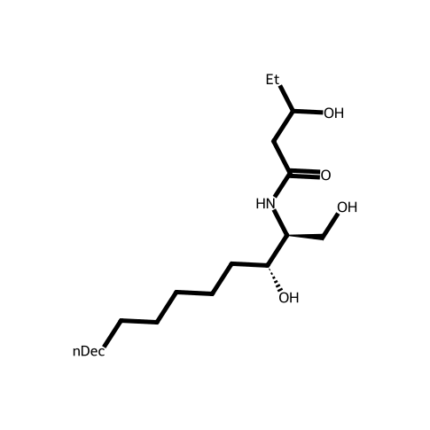 CCCCCCCCCCCCCCC[C@@H](O)[C@H](CO)NC(=O)CC(O)CC